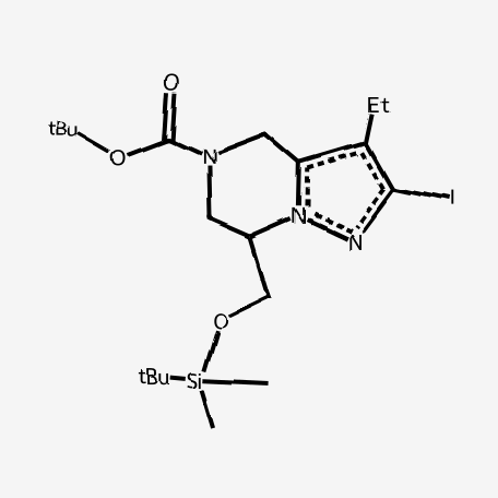 CCc1c(I)nn2c1CN(C(=O)OC(C)(C)C)CC2CO[Si](C)(C)C(C)(C)C